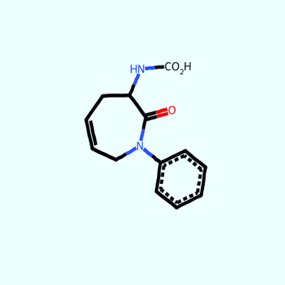 O=C(O)NC1CC=CCN(c2ccccc2)C1=O